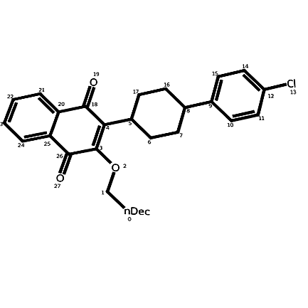 CCCCCCCCCCCOC1=C(C2CCC(c3ccc(Cl)cc3)CC2)C(=O)c2ccccc2C1=O